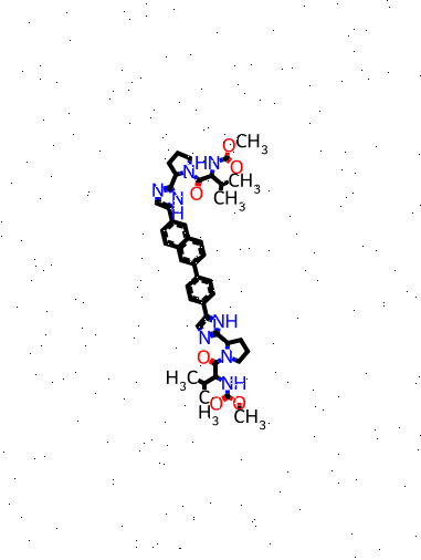 COC(=O)NC(C(=O)N1CCCC1c1ncc(-c2ccc(-c3ccc4cc(-c5cnc(C6CCCN6C(=O)C(NC(=O)OC)C(C)C)[nH]5)ccc4c3)cc2)[nH]1)C(C)C